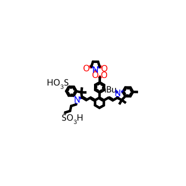 CCCC[N+]1=C(/C=C/C2=C(c3ccc(C(=O)ON4C(=O)CCC4=O)cc3)C(=C/C=C3/N(CCCCS(=O)(=O)O)c4ccc(S(=O)(=O)O)cc4C3(C)C)/CCC2)C(C)(C)c2cc(C)ccc21